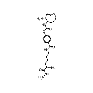 NNC(=O)C(N)CCCCNC(=O)c1ccc(OC(=O)N[C@@H]2CCCC/C=C/[C@H]2N)cc1